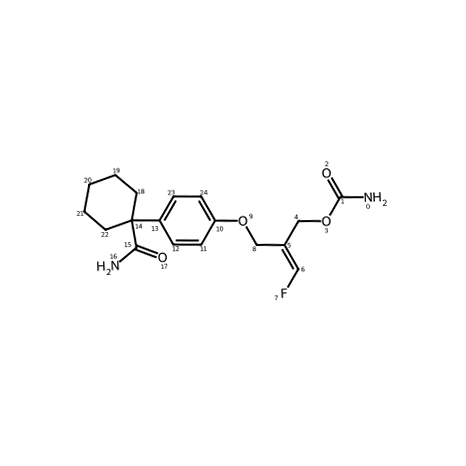 NC(=O)OC/C(=C/F)COc1ccc(C2(C(N)=O)CCCCC2)cc1